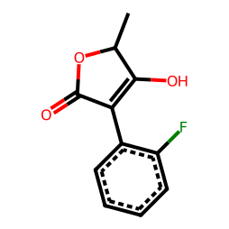 CC1OC(=O)C(c2ccccc2F)=C1O